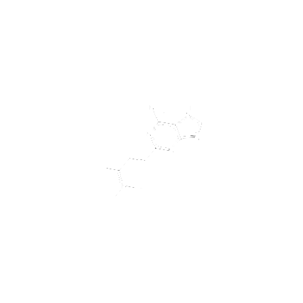 CC(CCc1nc(N)c2[nH]cnc2n1)=[N+](C)O